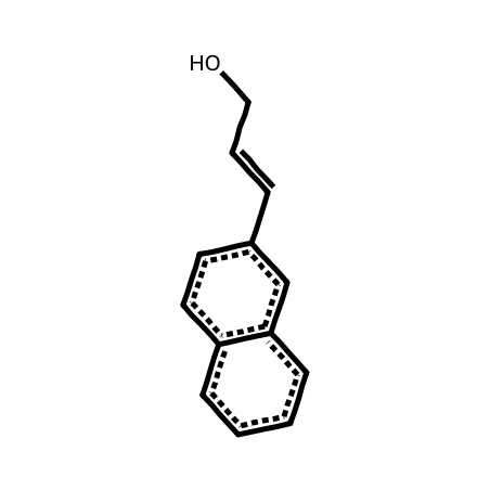 OC/C=C/c1ccc2ccccc2c1